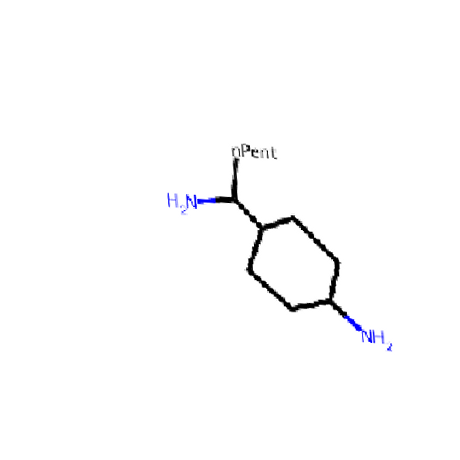 CCCCCC(N)C1CCC(N)CC1